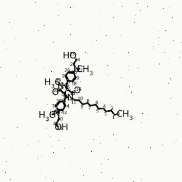 CCCCCCCCCCCCN1C(=O)C2=C(c3ccc(N(C)CCO)cc3)N(C)C(=O)C2=C1c1ccc(N(C)CCO)cc1